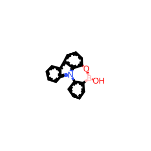 OB1Oc2cccc3c4ccccc4n(c23)-c2ccccc21